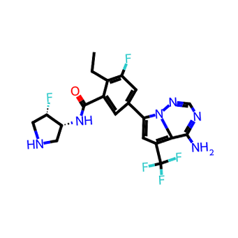 CCc1c(F)cc(-c2cc(C(F)(F)F)c3c(N)ncnn23)cc1C(=O)N[C@@H]1CNC[C@@H]1F